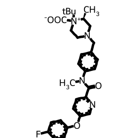 C[C@H]1CN(Cc2ccc(N(C)C(=O)c3ccc(Oc4ccc(F)cc4)cn3)cc2)CC[N+]1(C(=O)[O-])C(C)(C)C